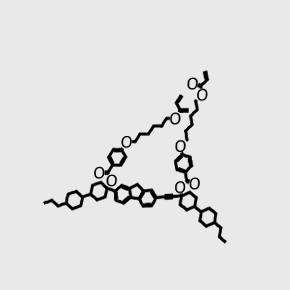 C=CC(=C)OCCCCCCOc1ccc(C(=O)OC2(c3ccc4c(c3)Cc3cc(C#CC5(OC(=O)c6ccc(OCCCCCCOC(=O)C=C)cc6)CCC(C6CCC(CCC)CC6)CC5)ccc3-4)CCC(C3CCC(CCC)CC3)CC2)cc1